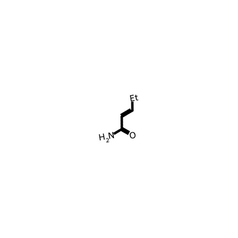 CC/C=C/C(N)=O